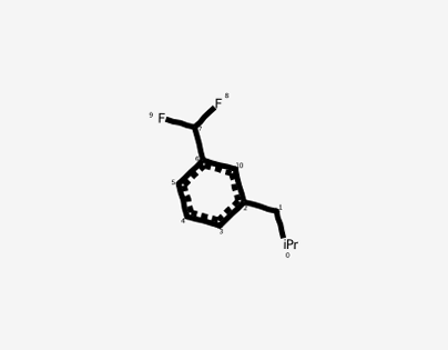 CC(C)Cc1cccc(C(F)F)c1